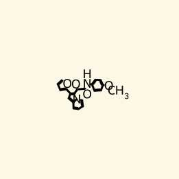 COc1ccc(NC(=O)C(=O)c2c(-c3ccco3)cc3ccccn23)cc1